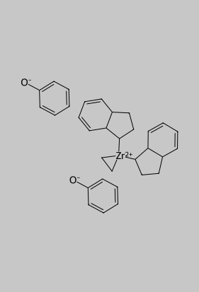 C1=CC2CC[CH]([Zr+2]3([CH]4CCC5C=CC=CC54)[CH2][CH2]3)C2C=C1.[O-]c1ccccc1.[O-]c1ccccc1